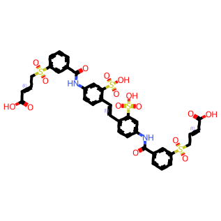 O=C(O)/C=C/CS(=O)(=O)c1cccc(C(=O)Nc2ccc(/C=C/c3ccc(NC(=O)c4cccc(S(=O)(=O)C/C=C/C(=O)O)c4)cc3S(=O)(=O)O)c(S(=O)(=O)O)c2)c1